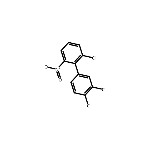 O=[N+]([O-])c1cccc(Cl)c1-c1ccc(Cl)c(Cl)c1